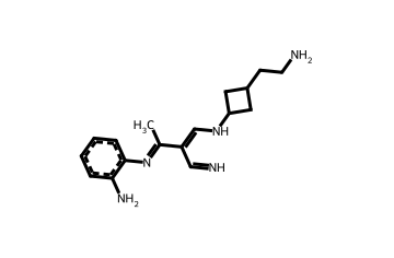 CC(=N\c1ccccc1N)/C(C=N)=C/NC1CC(CCN)C1